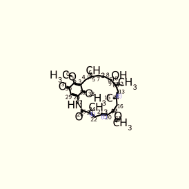 COC1=C2C[C@@H](C)CC[C@H](O)[C@@H](C)/C=C(\C)C[C@@H](OC)/C=C/C=C(\C)C(=O)NC(=CC1=O)C2=O